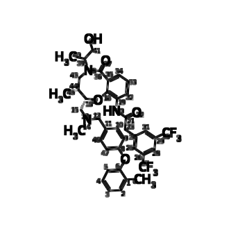 Cc1ccccc1Oc1ccc(CN(C)C[C@H]2Oc3c(NC(=O)Cc4cc(C(F)(F)F)cc(C(F)(F)F)c4)cccc3C(=O)N(C(C)CO)C[C@H]2C)cc1